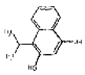 CC(C)c1c(O)cc(O)c2ccccc12